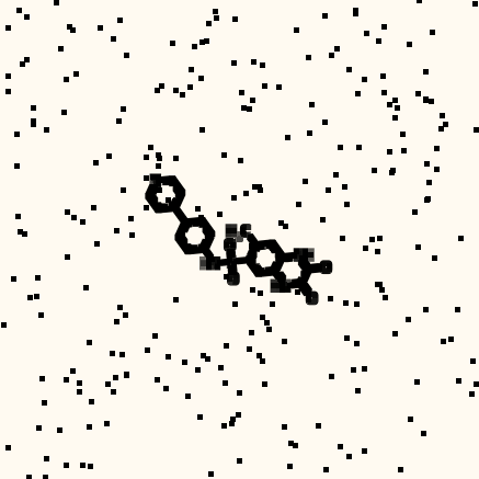 Cc1cc2[nH]c(=O)c(=O)[nH]c2cc1S(=O)(=O)Nc1ccc(-c2ccncc2)cc1